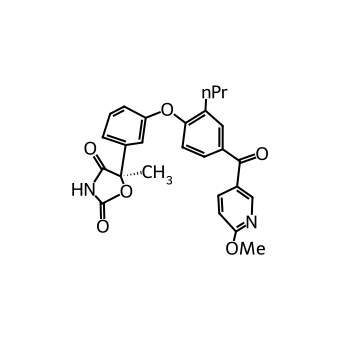 CCCc1cc(C(=O)c2ccc(OC)nc2)ccc1Oc1cccc([C@@]2(C)OC(=O)NC2=O)c1